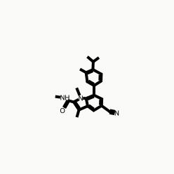 CNC(=O)c1c(C)c2cc(C#N)cc(-c3ccc(C(C)C)c(C)c3)c2n1C